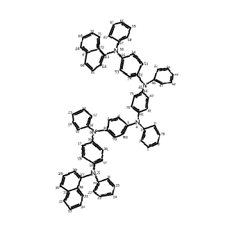 c1ccc(N(c2ccc(N(c3ccccc3)c3ccc(N(c4ccccc4)c4cccc5ccccc45)cc3)cc2)c2ccc(N(c3ccccc3)c3ccc(N(c4ccccc4)c4cccc5ccccc45)cc3)cc2)cc1